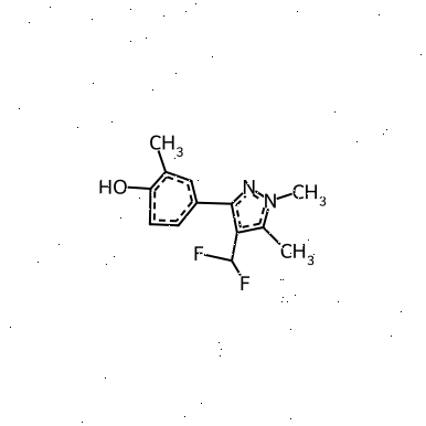 Cc1cc(-c2nn(C)c(C)c2C(F)F)ccc1O